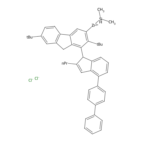 CCCC1=Cc2c(-c3ccc(-c4ccccc4)cc3)cccc2C1c1c2c(c[c]([Zr+2][SiH](C)C)c1C(C)(C)C)-c1ccc(C(C)(C)C)cc1C2.[Cl-].[Cl-]